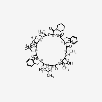 CC(C)C[C@H]1C(=O)N[C@@H]([C@@H](C)O)C(=O)N[C@@H](C)C(=O)N(C)[C@@H](Cc2ccccc2)C(=O)N[C@H](C(=O)N2CCCCC2)CC(=O)N(C)[C@@H](C)C(=O)N(C)[C@@H](CC(C)C)C(=O)N[C@@H](Cc2ccccc2)C(=O)N1C